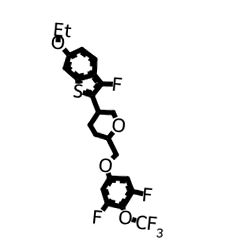 CCOc1ccc2c(F)c(C3CCC(COc4cc(F)c(OC(F)(F)F)c(F)c4)OC3)sc2c1